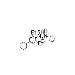 CCc1cc(C2CCCCC2)cc(CC)c1N(S)C(=O)NC1CCCC1